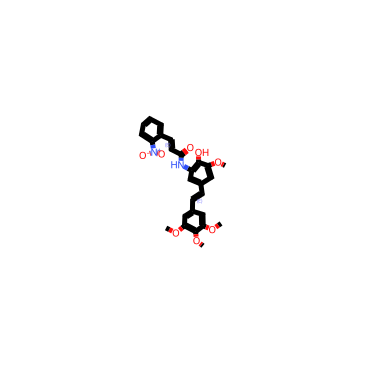 COc1cc(/C=C/c2cc(OC)c(OC)c(OC)c2)cc(NC(=O)/C=C/c2ccccc2[N+](=O)[O-])c1O